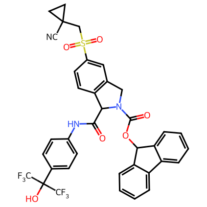 N#CC1(CS(=O)(=O)c2ccc3c(c2)CN(C(=O)OC2c4ccccc4-c4ccccc42)C3C(=O)Nc2ccc(C(O)(C(F)(F)F)C(F)(F)F)cc2)CC1